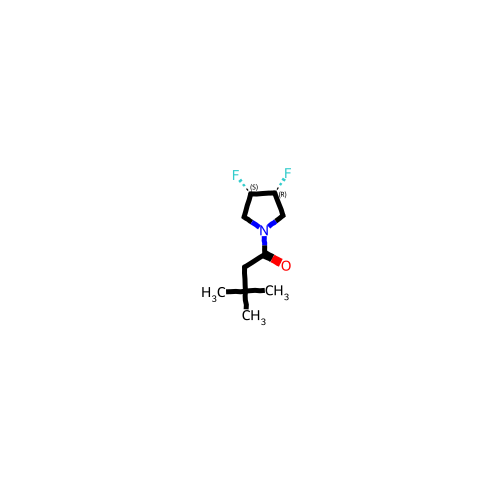 CC(C)(C)CC(=O)N1C[C@@H](F)[C@@H](F)C1